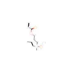 C=CC(=O)OCCC[Si](C)(C=CC)OCC